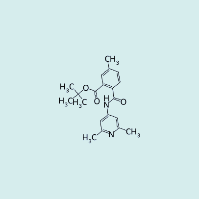 Cc1ccc(C(=O)Nc2cc(C)nc(C)c2)c(C(=O)OC(C)(C)C)c1